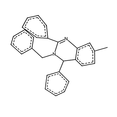 Cc1ccc2c(c1)N=C(c1ccccc1)N(Cc1ccccc1)C2c1ccccc1